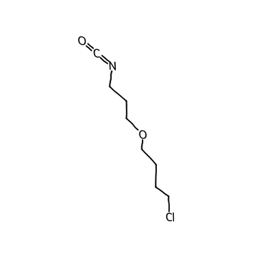 O=C=NCCCOCCCCCl